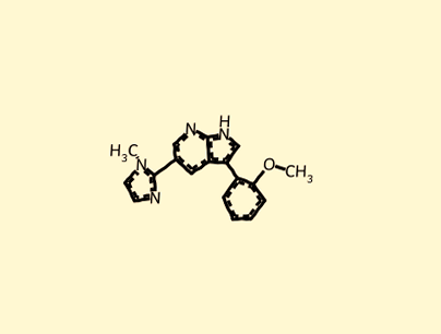 COc1ccccc1-c1c[nH]c2ncc(-c3nccn3C)cc12